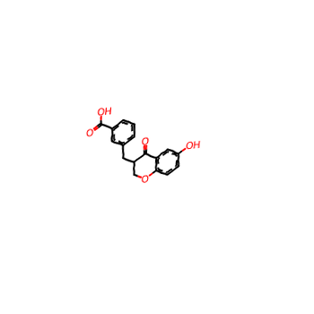 O=C(O)c1cccc(CC2COc3ccc(O)cc3C2=O)c1